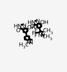 Cc1c(-c2cc(O)c3nc[nH]c(=O)c3c2)c(C(F)(F)F)nn1C.Cn1ncc2cc(-c3cc(O)c4nc[nH]c(=O)c4c3)ccc21